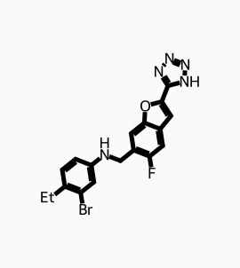 CCc1ccc(NCc2cc3oc(-c4nnn[nH]4)cc3cc2F)cc1Br